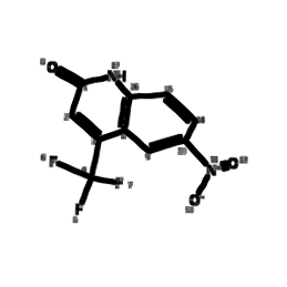 O=c1cc(C(F)(F)F)c2cc([N+](=O)[O-])ccc2[nH]1